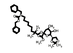 COC(=O)[C@@]1(OCC(C)(C)CCCCCCN(Cc2ccccc2)C(=O)OCc2ccccc2)C[C@@H](C)[C@@H](O)C([C@H]2COC(C)(C)O2)O1